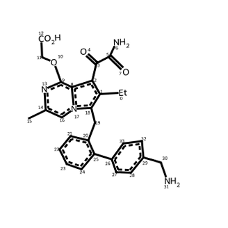 CCc1c(C(=O)C(N)=O)c2c(OCC(=O)O)nc(C)cn2c1Cc1ccccc1-c1ccc(CN)cc1